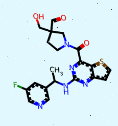 CC(Nc1nc(C(=O)N2CCC(C=O)(CO)C2)c2sccc2n1)c1cncc(F)c1